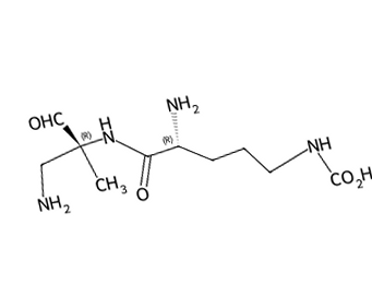 C[C@](C=O)(CN)NC(=O)[C@H](N)CCCNC(=O)O